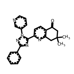 CC1(C)CC(=O)c2ccc(-c3nc(-c4ccccc4)nn3-c3cccnc3)nc2C1